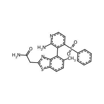 Cc1ccc2sc(CC(N)=O)nc2c1-c1c(S(=O)(=O)c2ccccc2)ccnc1N